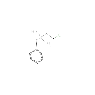 C[Si](C)(CCCl)Cc1ccccc1